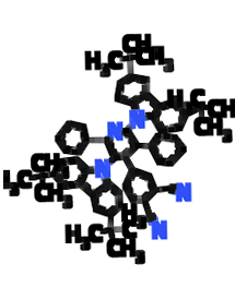 CC(C)(C)c1ccc2c(c1)c1cc(C(C)(C)C)ccc1n2-c1nc(-c2ccccc2)c(-n2c3ccc(C(C)(C)C)cc3c3cc(C(C)(C)C)ccc32)c(-c2ccc(C#N)c(C#N)c2)c1-c1ccccc1